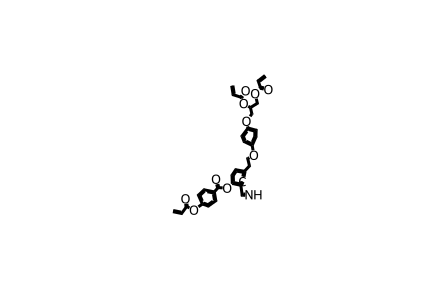 C=CC(=O)OCC(COc1ccc(OCCc2ccc(OC(=O)c3ccc(OC(=O)C=C)cc3)c(C=N)c2)cc1)OC(=O)C=C